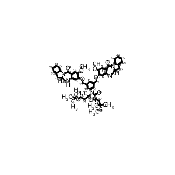 COc1cc2c(cc1OCc1cc(COc3cc4c(cc3OC)C(=O)N3c5ccccc5C[C@H]3CN4)cc(N(C(=O)OCC(C)(C)SC)C(C)(C)CCOC(C)(C)C)c1)N=C[C@@H]1Cc3ccccc3N1C2=O